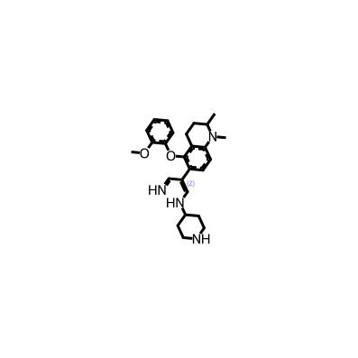 COc1ccccc1Oc1c(/C(C=N)=C/NC2CCNCC2)ccc2c1CCC(C)N2C